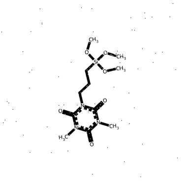 CO[Si](CCCn1c(=O)n(C)c(=O)n(C)c1=O)(OC)OC